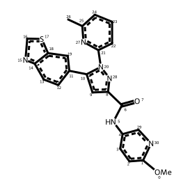 COc1ccc(NC(=O)c2cc(-c3ccc4ncsc4c3)n(-c3cccc(C)n3)n2)cn1